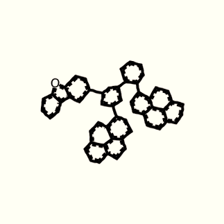 c1ccc(-c2ccc3ccc4cccc5ccc2c3c45)c(-c2cc(-c3ccc4oc5ccccc5c4c3)cc(-c3ccc4ccc5cccc6ccc3c4c56)c2)c1